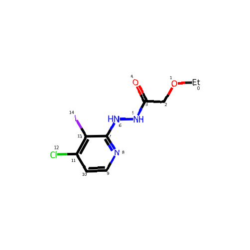 CCOCC(=O)NNc1nccc(Cl)c1I